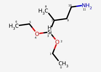 CCO[SiH](OCC)C(C)CCN